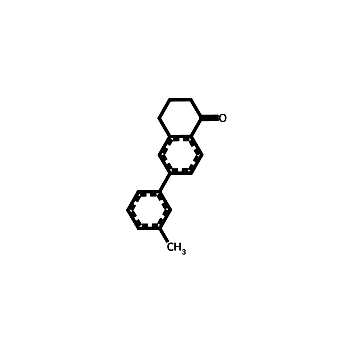 Cc1cccc(-c2ccc3c(c2)CCCC3=O)c1